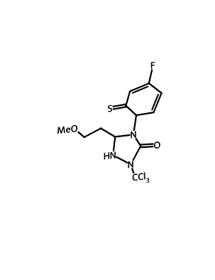 COCCC1NN(C(Cl)(Cl)Cl)C(=O)N1C1C=CC(F)=CC1=S